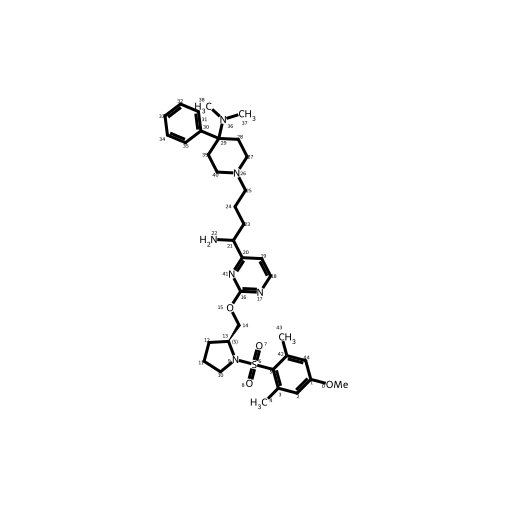 COc1cc(C)c(S(=O)(=O)N2CCC[C@H]2COc2nccc(C(N)CCCN3CCC(c4ccccc4)(N(C)C)CC3)n2)c(C)c1